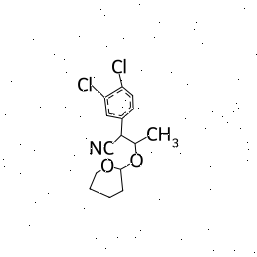 CC(OC1CCCCO1)C(C#N)c1ccc(Cl)c(Cl)c1